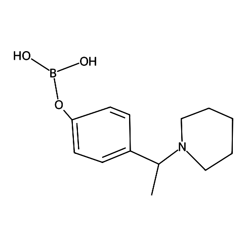 CC(c1ccc(OB(O)O)cc1)N1CCCCC1